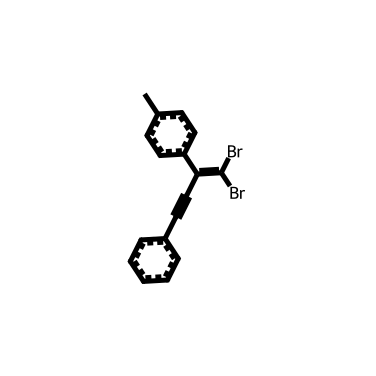 Cc1ccc(C(C#Cc2ccccc2)=C(Br)Br)cc1